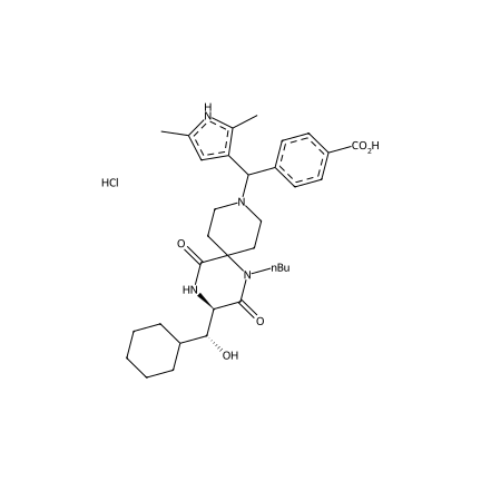 CCCCN1C(=O)[C@@H]([C@H](O)C2CCCCC2)NC(=O)C12CCN(C(c1ccc(C(=O)O)cc1)c1cc(C)[nH]c1C)CC2.Cl